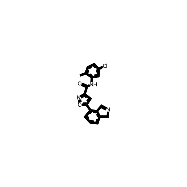 Cc1ccc(Cl)cc1NC(=O)c1cc(-c2cccc3c2C=NC3)on1